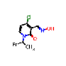 CC(C)[C@H](C)n1ccc(Cl)c(C=NO)c1=O